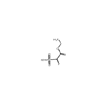 CCOC(=O)C(F)S(=O)(=O)O